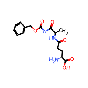 C[C@@H](NC(=O)CC[C@@H](N)C(=O)O)C(=O)[N]C(=O)OCc1ccccc1